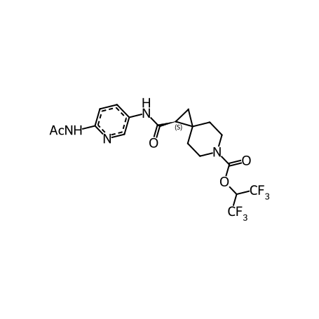 CC(=O)Nc1ccc(NC(=O)[C@H]2CC23CCN(C(=O)OC(C(F)(F)F)C(F)(F)F)CC3)cn1